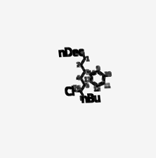 CCCCCCCCCCCCCCCC(Cl)CCCC.c1ccccc1